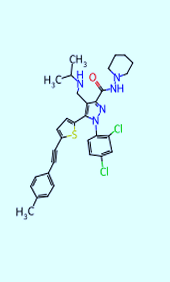 Cc1ccc(C#Cc2ccc(-c3c(CNC(C)C)c(C(=O)NN4CCCCC4)nn3-c3ccc(Cl)cc3Cl)s2)cc1